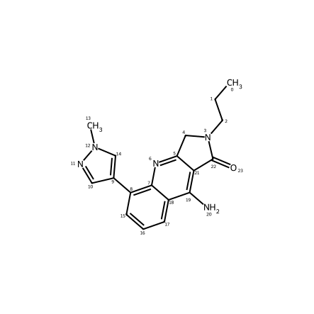 CCCN1Cc2nc3c(-c4cnn(C)c4)cccc3c(N)c2C1=O